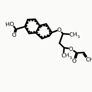 C=CC(=O)OC(C)CC(C)Oc1ccc2cc(C(=O)O)ccc2c1